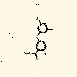 COC(=O)c1cc(Oc2cc(C)cc(Br)c2)ccc1C